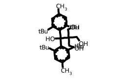 Cc1cc(C(C)(C)C)c(C(O)(c2c(C(C)(C)C)cc(C)cc2C(C)(C)C)C(CO)(CO)CO)c(C(C)(C)C)c1